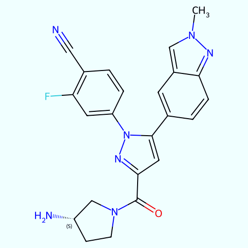 Cn1cc2cc(-c3cc(C(=O)N4CC[C@H](N)C4)nn3-c3ccc(C#N)c(F)c3)ccc2n1